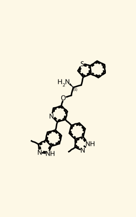 Cc1n[nH]c2ccc(-c3cc(OC[C@@H](N)Cc4csc5ccccc45)cnc3-c3ccc4[nH]nc(C)c4c3)cc12